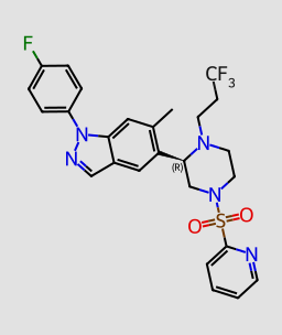 Cc1cc2c(cnn2-c2ccc(F)cc2)cc1[C@@H]1CN(S(=O)(=O)c2ccccn2)CCN1CCC(F)(F)F